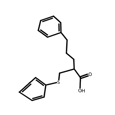 O=C(O)C(CCCc1ccccc1)CSc1ccccc1